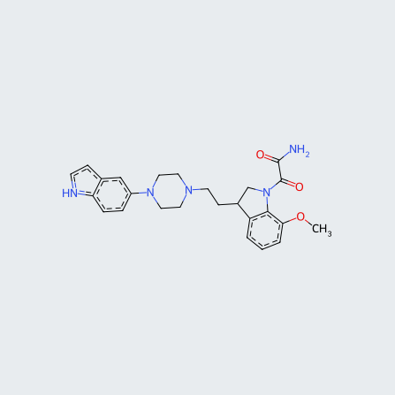 COc1cccc2c1N(C(=O)C(N)=O)CC2CCN1CCN(c2ccc3[nH]ccc3c2)CC1